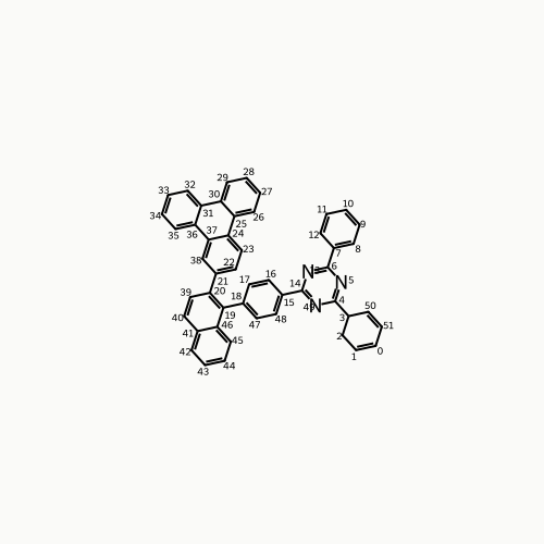 C1=CCC(c2nc(-c3ccccc3)nc(-c3ccc(-c4c(-c5ccc6c7ccccc7c7ccccc7c6c5)ccc5ccccc45)cc3)n2)C=C1